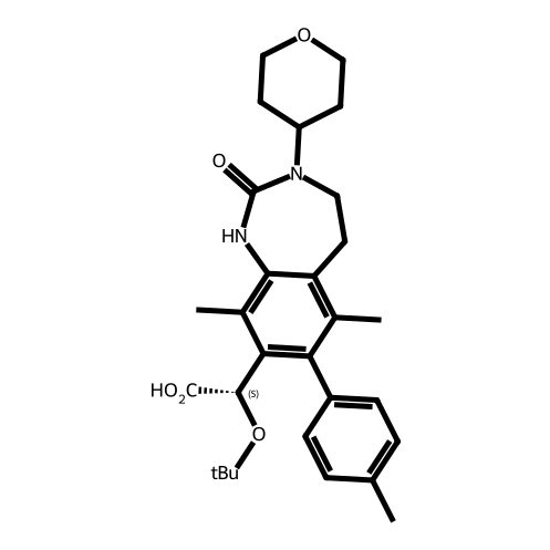 Cc1ccc(-c2c(C)c3c(c(C)c2[C@H](OC(C)(C)C)C(=O)O)NC(=O)N(C2CCOCC2)CC3)cc1